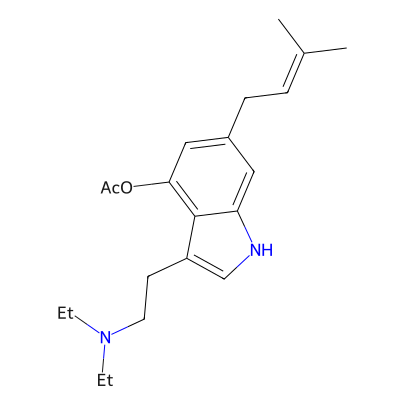 CCN(CC)CCc1c[nH]c2cc(CC=C(C)C)cc(OC(C)=O)c12